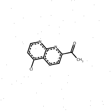 CC(=O)c1ccc2c(Cl)ccnc2n1